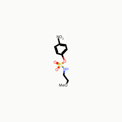 COCCNS(=O)(=O)Oc1ccc([N+](=O)[O-])cc1